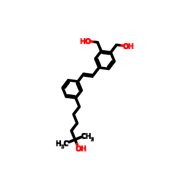 CC(C)(O)CCCCc1cccc(C=Cc2ccc(CO)c(CO)c2)c1